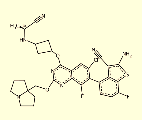 C[C@@H](C#N)NC1CC(Oc2nc(OCC34CCCN3CCC4)nc3c(F)c(-c4ccc(F)c5sc(N)c(C#N)c45)c(Cl)cc23)C1